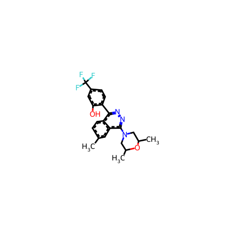 Cc1ccc2c(-c3ccc(C(F)(F)F)cc3O)nnc(N3CC(C)OC(C)C3)c2c1